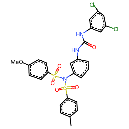 COc1ccc(S(=O)(=O)N(c2cccc(NC(=O)Nc3cc(Cl)cc(Cl)c3)c2)S(=O)(=O)c2ccc(C)cc2)cc1